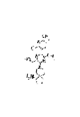 Cc1ccc(-c2nc(CO)c(N3CCC4(CCC[C@H]4N)CC3)nc2C)c(Cl)n1